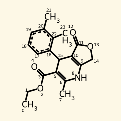 CCOC(=O)C1=C(C)NC2=C(C(=O)OC2)C1c1cccc(C)c1C